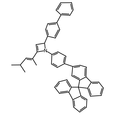 C/C(=C\C(C)C)C1=CC(c2ccc(-c3ccccc3)cc2)N1c1ccc(-c2ccc3c(c2)C2(c4ccccc4-c4ccccc42)c2ccccc2-3)cc1